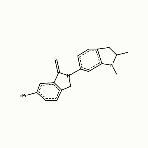 C=C1c2cc(CCC)ccc2CN1c1ccc2c(c1)N(C)C(C)C2